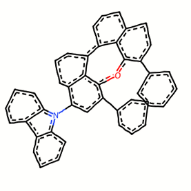 c1ccc(-c2ccc3cccc4c5cccc6c(-n7c8ccccc8c8ccccc87)cc(-c7ccccc7)c(oc2c34)c65)cc1